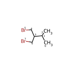 CC(C)C(CBr)CBr